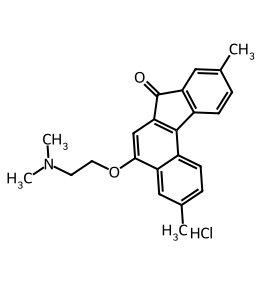 Cc1ccc2c(c1)C(=O)c1cc(OCCN(C)C)c3cc(C)ccc3c1-2.Cl